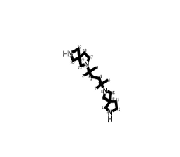 CC(C)(CCC(C)(C)N1CC2(CCNC2)C1)N1CCC2(CNC2)C1